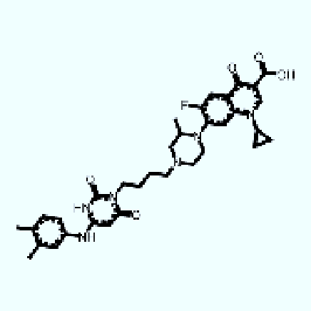 Cc1ccc(Nc2cc(=O)n(CCCCN3CCN(c4cc5c(cc4F)c(=O)c(C(=O)O)cn5C4CC4)C(C)C3)c(=O)[nH]2)cc1C